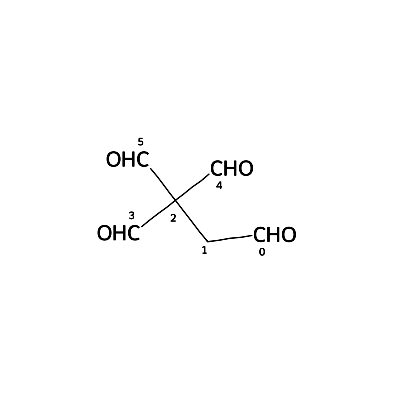 O=CCC(C=O)(C=O)C=O